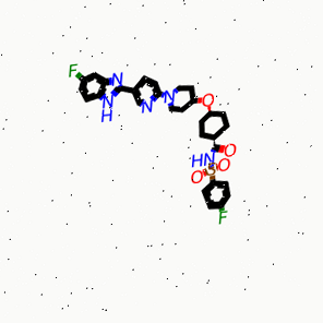 O=C(NS(=O)(=O)c1ccc(F)cc1)[C@H]1CC[C@H](OC2CCN(c3ccc(-c4nc5cc(F)ccc5[nH]4)cn3)CC2)CC1